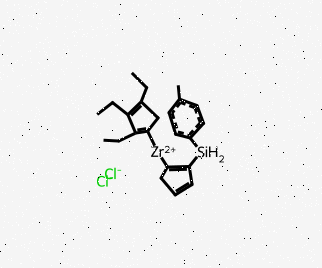 CCC1=C(CC)C(CC)=[C]([Zr+2][C]2=C([SiH2]c3ccc(C)cc3)C=CC2)C1.[Cl-].[Cl-]